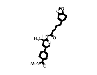 CNC(=O)c1ccc(-c2cnc(NC(=O)CCCCc3ccc4c(c3)OCO4)c(C)c2)cc1